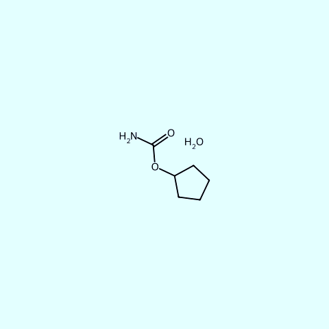 NC(=O)OC1CCCC1.O